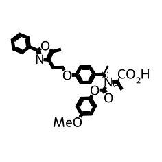 COc1ccc(OC(=O)N([C@H](C)c2ccc(OCCc3nc(-c4ccccc4)oc3C)cc2)[C@@H](C)C(=O)O)cc1